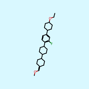 CCOC1CCC(c2ccc(C3CCC(C4CCC(=COC)CC4)CC3)c(F)c2)CC1